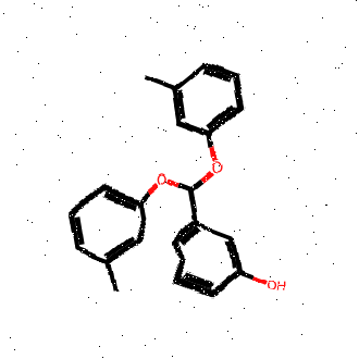 Cc1cccc(OC(Oc2cccc(C)c2)c2cccc(O)c2)c1